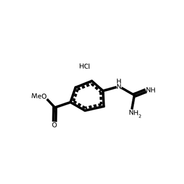 COC(=O)c1ccc(NC(=N)N)cc1.Cl